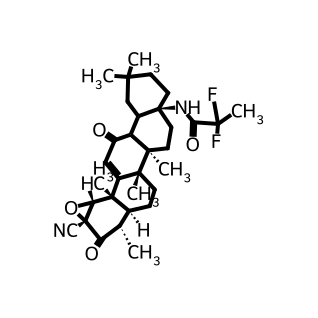 C[C@@H]1C(=O)[C@]2(C#N)O[C@@H]2[C@]2(C)C3=CC(=O)C4C5CC(C)(C)CC[C@]5(NC(=O)C(C)(F)F)CC[C@@]4(C)[C@]3(C)CC[C@@H]12